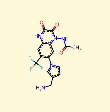 CC(=O)Nn1c(=O)c(=O)[nH]c2cc(C(F)(F)F)c(-n3ccc(CN)c3)cc21